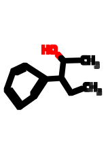 CCC(c1ccccc1)C(C)O